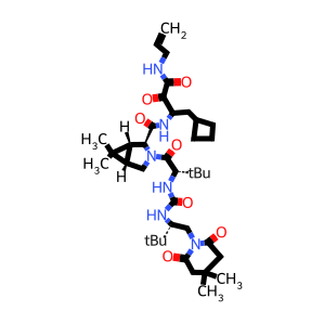 C=CCNC(=O)C(=O)C(CC1CCC1)NC(=O)[C@@H]1[C@@H]2[C@H](CN1C(=O)[C@@H](NC(=O)N[C@H](CN1C(=O)CC(C)(C)CC1=O)C(C)(C)C)C(C)(C)C)C2(C)C